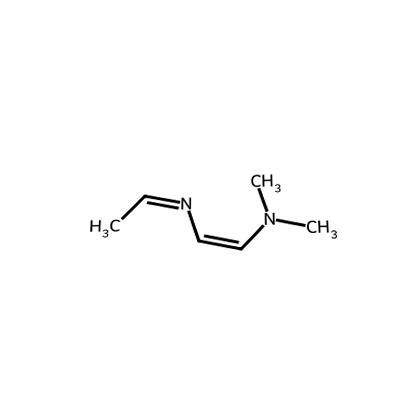 C/C=N\C=C/N(C)C